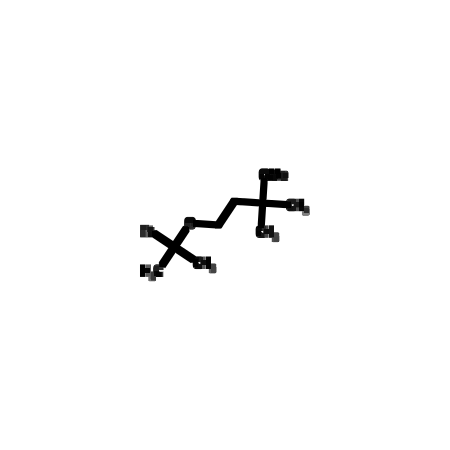 CCC(C)(C)OCCC(C)(C)OC